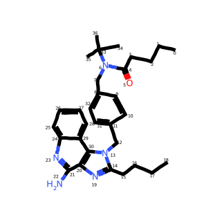 CCCCC(=O)N(Cc1ccc(Cn2c(CCCC)nc3c(N)nc4ccccc4c32)cc1)C(C)(C)C